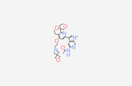 CC(=O)Nc1cc2c(-c3cc(OCCN4CC5(COC5)C4)c4c(n3)C3(CCOC3)OCC4)cn(C)c2cn1